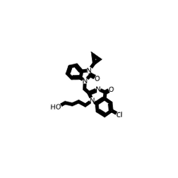 O=c1nc(Cn2c(=O)n(C3CC3)c3ccccc32)n(CCCCO)c2ccc(Cl)cc12